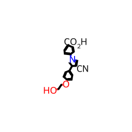 N#CC1=CN(c2ccc(C(=O)O)cc2)CC1c1ccc(OCCO)cc1